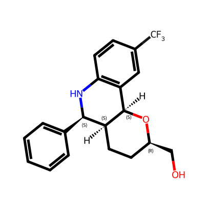 OC[C@H]1CC[C@H]2[C@@H](c3ccccc3)Nc3ccc(C(F)(F)F)cc3[C@H]2O1